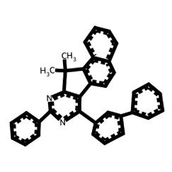 CC1(C)c2nc(-c3ccccc3)nc(-c3cccc(-c4ccccc4)c3)c2-c2ccc3ccccc3c21